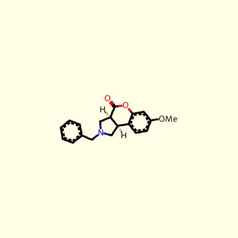 COc1ccc2c(c1)OC(=O)[C@@H]1CN(Cc3ccccc3)C[C@H]21